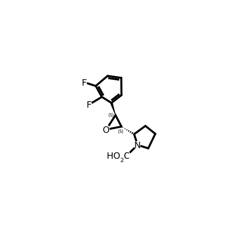 O=C(O)N1CCCC1[C@@H]1O[C@H]1c1cccc(F)c1F